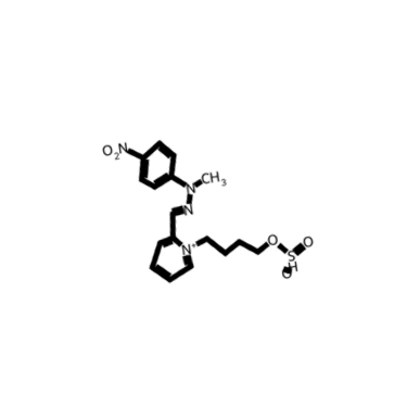 CN(N=Cc1cccc[n+]1CCCCO[SH](=O)=O)c1ccc([N+](=O)[O-])cc1